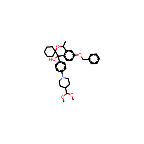 COC(OC)C1CCN(c2ccc(C3(O)c4ccc(OCc5ccccc5)cc4C(C)OC34CCCCC4)cc2)CC1